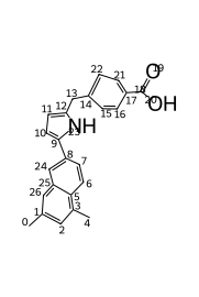 Cc1cc(C)c2ccc(-c3ccc(Cc4ccc(C(=O)O)cc4)[nH]3)cc2c1